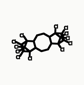 ClC1=C(Cl)C2(Cl)C3CCC4C(CCC3C1(Cl)C2(Cl)Cl)C1(Cl)C(Cl)=C(Cl)C4(Cl)C1(Cl)Cl